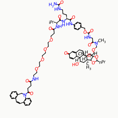 CCCC1O[C@@H]2C[C@H]3[C@@H]4CCC5=CC(=O)C=C[C@]5(C)[C@H]4[C@@H](O)C[C@]3(C)[C@]2(C(=O)COCN(C)C(=O)CNC(=O)OCc2ccc(NC(=O)[C@H](CCCNC(N)=O)NC(=O)[C@@H](NC(=O)CCOCCOCCOCCOCCNC(=O)CCC(=O)N3Cc4ccccc4/C=C\c4ccccc43)C(C)C)cc2)O1